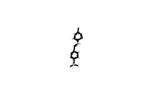 Cc1ccc(/N=C/c2ccc(N(C)C)cc2)cc1